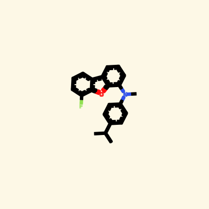 CC(C)c1ccc(N(C)c2cccc3c2oc2c(F)cccc23)cc1